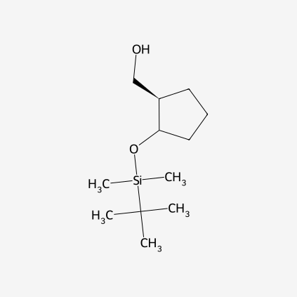 CC(C)(C)[Si](C)(C)OC1CCC[C@@H]1CO